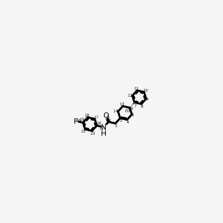 O=C(CC1=CC[C@@H](c2ccccc2)CC1)Nc1ccc(F)cc1